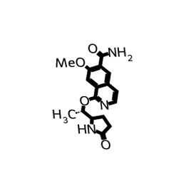 COc1cc2c(O[C@@H](C)C3CCC(=O)N3)nccc2cc1C(N)=O